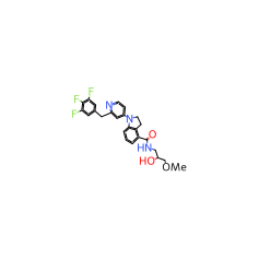 COC[C@@H](O)CNC(=O)c1cccc2c1CCN2c1ccnc(Cc2cc(F)c(F)c(F)c2)c1